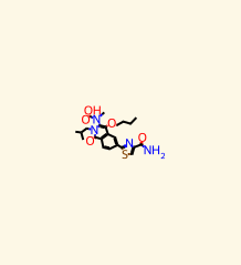 CCCCOc1c(N(C)C(=O)O)n(CC(C)C)c(=O)c2ccc(-c3nc(C(N)=O)cs3)cc12